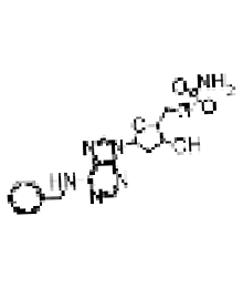 NS(=O)(=O)OC[C@@H]1OC(n2cnc3c(NCc4ccccc4)ncnc32)C[C@@H]1O